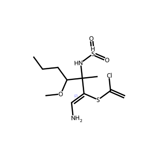 C=C(Cl)S/C(=C\N)C(C)(N[SH](=O)=O)C(CCC)OC